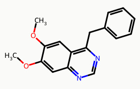 COc1cc2ncnc(Cc3ccccc3)c2cc1OC